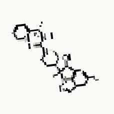 C[C@H](NC(=O)N1CCC(C2(C)C(O)c3cc(Cl)cc4cnn2c34)CC1)c1ccccn1